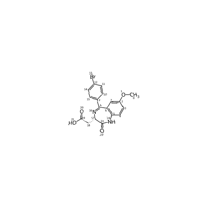 COc1ccc2c(c1)C(c1ccc(Br)cc1)=N[C@@H](CC(=O)O)C(=O)N2